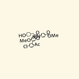 COC(=O)c1ccc(NC(=O)C(CC2CCC(O)CC2)n2cc(OC)c(-c3cc(Cl)ccc3C(C)=O)cc2=O)cc1